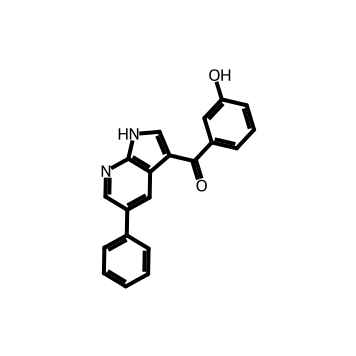 O=C(c1cccc(O)c1)c1c[nH]c2ncc(-c3ccccc3)cc12